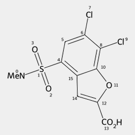 CNS(=O)(=O)c1cc(Cl)c(Cl)c2oc(C(=O)O)cc12